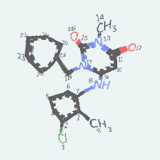 Cc1c(Cl)cccc1Nc1cc(=O)n(C)c(=O)n1Cc1ccccc1